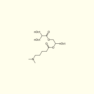 CCCCCCCCC(COC(=O)C(CCCCCCCC)CCCCCCCC)OC(=O)CCCCN(C)C